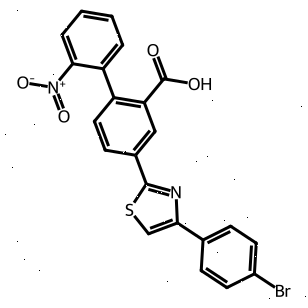 O=C(O)c1cc(-c2nc(-c3ccc(Br)cc3)cs2)ccc1-c1ccccc1[N+](=O)[O-]